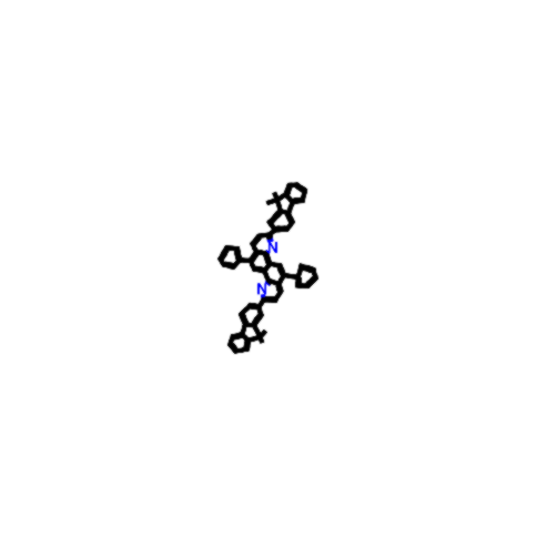 CC1(C)c2ccccc2-c2ccc(-c3ccc4c(-c5ccccc5)cc5c(cc(-c6ccccc6)c6ccc(-c7ccc8c(c7)C(C)(C)c7ccccc7-8)nc65)c4n3)cc21